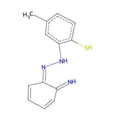 Cc1ccc(S)c(N/N=C2/C=CC=CC2=N)c1